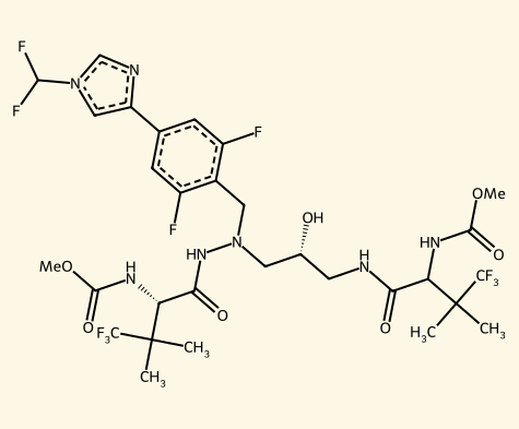 COC(=O)NC(C(=O)NC[C@@H](O)CN(Cc1c(F)cc(-c2cn(C(F)F)cn2)cc1F)NC(=O)[C@@H](NC(=O)OC)C(C)(C)C(F)(F)F)C(C)(C)C(F)(F)F